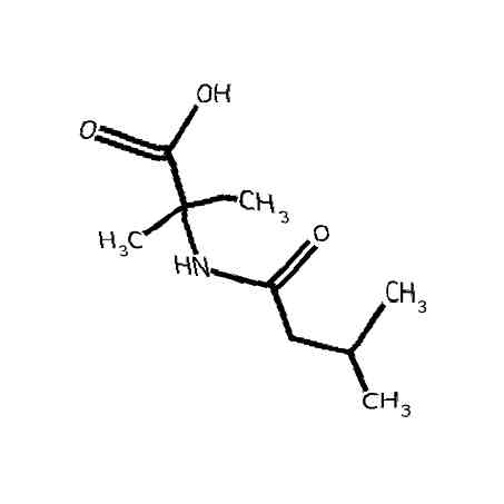 CC(C)CC(=O)NC(C)(C)C(=O)O